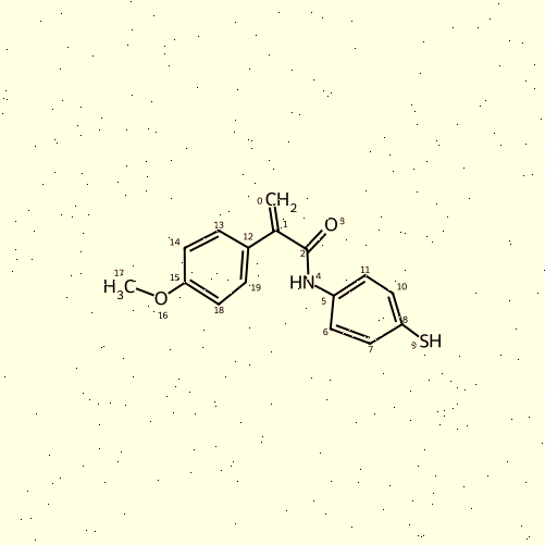 C=C(C(=O)Nc1ccc(S)cc1)c1ccc(OC)cc1